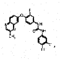 Cc1cnc2ccc(Oc3ccc(NC(=O)Nc4ccc(Cl)c(C(F)(F)F)c4)cc3F)cc2n1